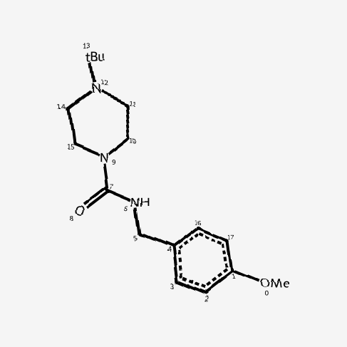 COc1ccc(CNC(=O)N2CCN(C(C)(C)C)CC2)cc1